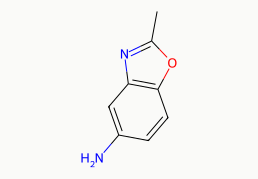 Cc1nc2cc(N)ccc2o1